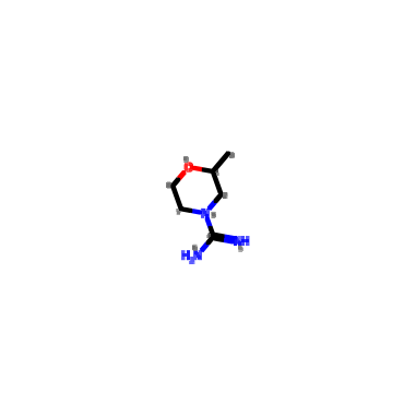 CC1CN(C(=N)N)CCO1